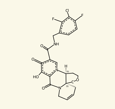 O=C(NCc1ccc(F)c(Cl)c1F)c1cn2c(c(O)c1=O)C(=O)N1CC=CC[C@]13COCC[C@H]23